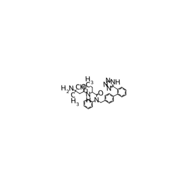 CCC(NC(=O)CC(C)(C)N)C(=O)N(Cc1ccc(-c2ccccc2-c2nnn[nH]2)cc1)c1ccccc1